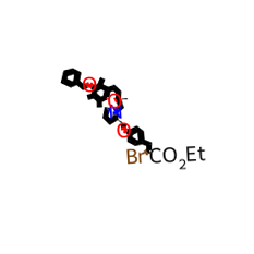 CCOC(=O)C(Br)Cc1ccc(OC[C@@H]2CCCN2C[C@]2(C)CCc3c(C)c(OCc4ccccc4)c(C)c(C)c3O2)cc1